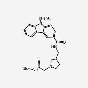 CCCCCn1c2ccccc2c2cc(C(=O)NCC3CCN(CC(=O)NC(C)(C)C)C3)ccc21